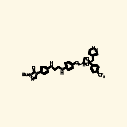 CCC(C)n1ncn(-c2ccc(NCCNc3ccc(OC[C@@H]4CO[C@](Cc5ccnnc5)(c5ccc(C(F)(F)F)cc5)O4)cc3)cc2)c1=O